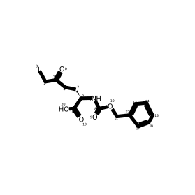 O=C(CI)CC[C@H](NC(=O)OCc1ccccc1)C(=O)O